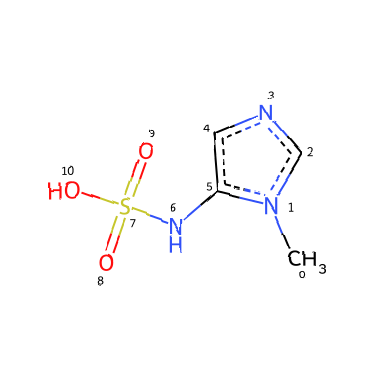 Cn1cncc1NS(=O)(=O)O